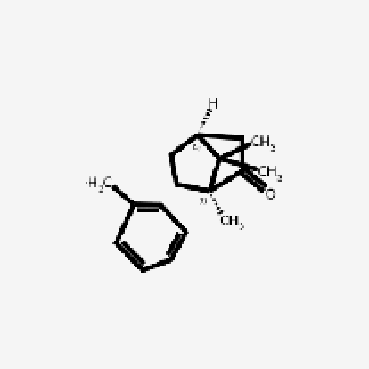 CC1(C)[C@H]2CC[C@]1(C)C(=O)C2.[CH2]c1ccccc1